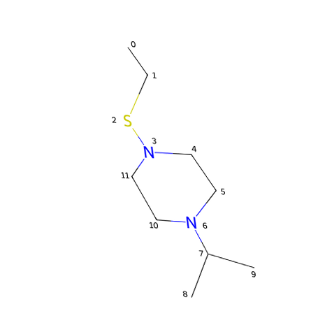 CCSN1CCN(C(C)C)CC1